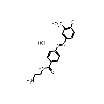 Cl.NCCNC(=O)c1ccc(N=Nc2ccc(O)c(C(=O)O)c2)cc1